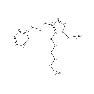 CCCCCCCCCCCCCCCc1n(CCCCCCCCCCC)cc[n+]1CCCc1ccccc1